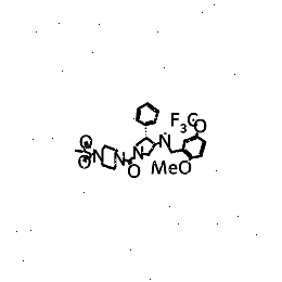 COc1ccc(OC(F)(F)F)cc1CN(C)[C@H]1CN(C(=O)N2CCN(S(C)(=O)=O)CC2)C[C@@H]1c1ccccc1